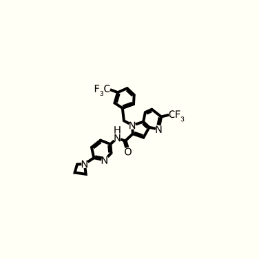 O=C(Nc1ccc(N2CCC2)nc1)c1cc2nc(C(F)(F)F)ccc2n1Cc1cccc(C(F)(F)F)c1